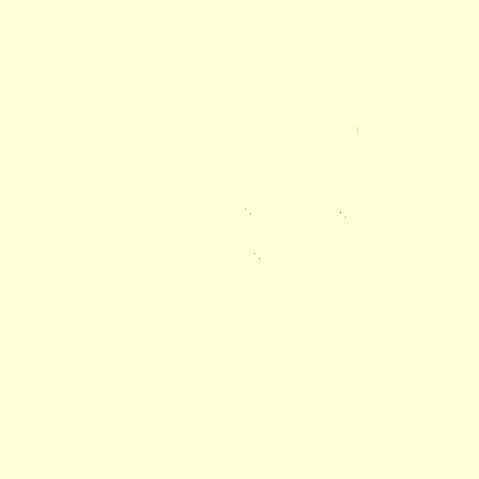 CC1(C)c2ccccc2-c2cc3c(-c4nc(-c5cccc(-c6ccccc6)c5)cc(-c5cccc(-c6ccccc6)c5)n4)cc(-c4ccccc4)nc3cc21